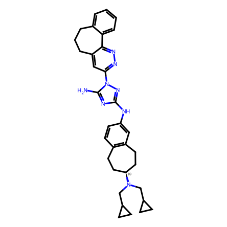 Nc1nc(Nc2ccc3c(c2)CC[C@@H](N(CC2CC2)CC2CC2)CC3)nn1-c1cc2c(nn1)-c1ccccc1CCC2